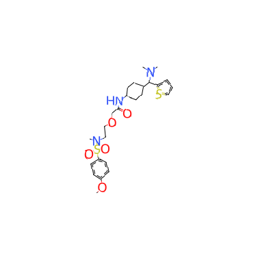 COc1ccc(S(=O)(=O)N(C)CCOCC(=O)NC2CCC(C(c3cccs3)N(C)C)CC2)cc1